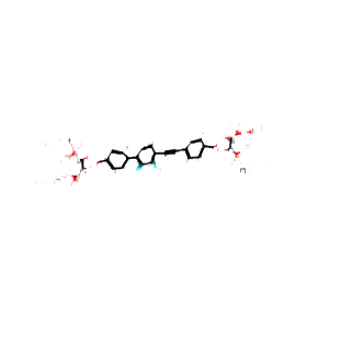 CCCCOC(=O)[C@@H]1OC(c2ccc(C#Cc3ccc(-c4ccc(C5O[C@@H](C(=O)OCCCC)[C@H](C(=O)OCCCC)O5)cc4)c(F)c3F)cc2)O[C@H]1C(=O)OCCCC